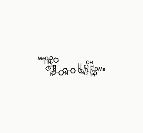 COC(=O)N[C@H](C(=O)N1C[C@H](O)C[C@H]1c1ncc(-c2ccc(-c3ccc4cc(-c5cnc([C@@H]6CCCN6C(=O)[C@H](NC(=O)OC)c6ccccc6)[nH]5)ccc4n3)cc2)[nH]1)C(C)C